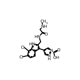 CNCC(=O)NCc1[nH]c2c(Cl)c(Cl)ccc2c1-c1cn[nH]c1.O=CO